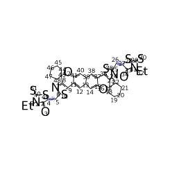 CCN1C(=O)/C(=C/c2nc3c(s2)C2=CC4C=C5OC6(CCCCC6)c6nc(/C=C7/SC(=S)N(CC)C7=O)sc6C5=CC4C=C2OC32CCCCC2)SC1=S